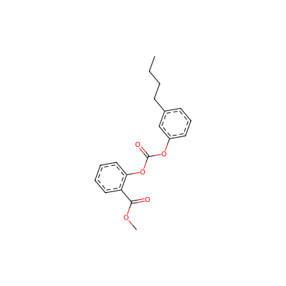 CCCCc1cccc(OC(=O)Oc2ccccc2C(=O)OC)c1